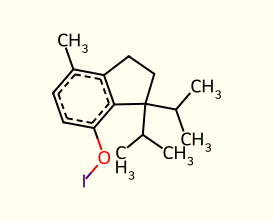 Cc1ccc(OI)c2c1CCC2(C(C)C)C(C)C